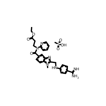 CCOC(=O)CCN(C(=O)c1ccc2c(c1)nc(CNc1ccc(C(=N)N)cc1)n2C)c1ccccn1.CS(=O)(=O)O